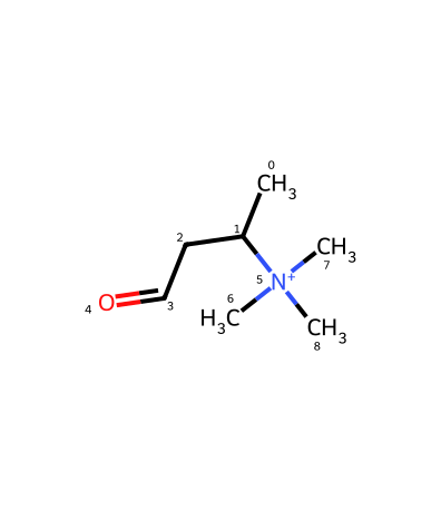 CC(CC=O)[N+](C)(C)C